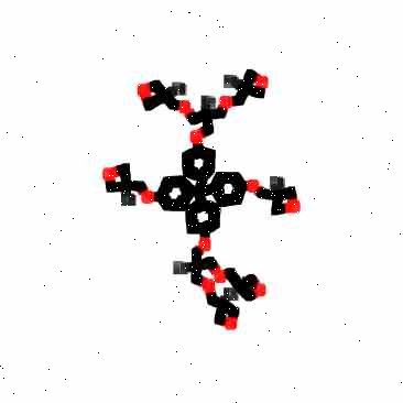 CCC1(COCC(CC)(COCC2(CC)COC2)COc2ccc(C(c3ccc(OCC(CC)(COCC4(CC)COC4)COCC4(CC)COC4)cc3)(c3ccc(OCC4(CC)COC4)cc3)c3ccc(OCC4(CC)COC4)cc3)cc2)COC1